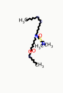 CCCCCC/C=C\C/C=C\CCCCCCCN(CCCCCCCC(=O)OC/C=C\CCCCCC)C(=O)CSCCN(C)C